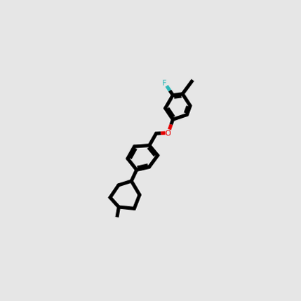 Cc1ccc(OCc2ccc(C3CCC(C)CC3)cc2)cc1F